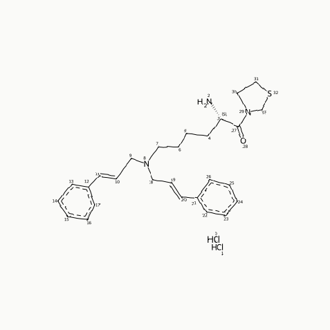 Cl.Cl.N[C@@H](CCCCN(CC=Cc1ccccc1)CC=Cc1ccccc1)C(=O)N1CCSC1